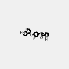 O=C(Nc1ccc(Oc2ccnc3c2CCN3)c(F)c1)c1ccc[nH]1